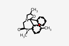 Cc1ccc2c(c1)C1(c3ccccc3)OC(C)CN1CC(=O)N2C